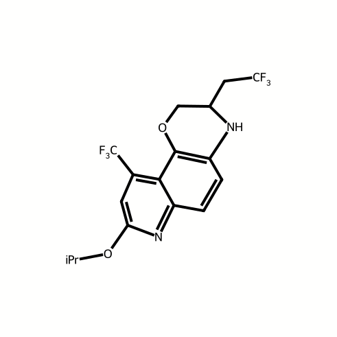 CC(C)Oc1cc(C(F)(F)F)c2c3c(ccc2n1)NC(CC(F)(F)F)CO3